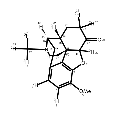 [2H]c1c([2H])c(OC)c2c3c1C[C@H]1N(C([2H])([2H])[2H])CC[C@@]34C([2H])(O2)C(=O)C([2H])([2H])C[C@@]14[2H]